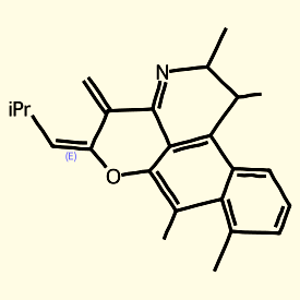 C=C1C2=NC(C)C(C)c3c2c(c(C)c2c(C)cccc32)O/C1=C/C(C)C